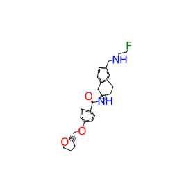 O=C(N[C@H]1CCc2cc(CNCCF)ccc2C1)c1ccc(OC[C@@H]2CCCO2)cc1